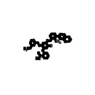 Cc1c(COc2cc(OCc3cccc(CN)c3)c(CN3CCCC[C@H]3C(=O)O)cc2Cl)cccc1-c1ccc2c(c1)OCCO2